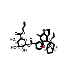 C=CCOC(=O)[C@H]1OC(OC(=O)c2ccc([C@]34CC[C@H](C[C@H](OCC)C3)N4Cc3c(OC)cc(C)c4[nH]ccc34)cc2)[C@@H](O)[C@@H](O)[C@@H]1O